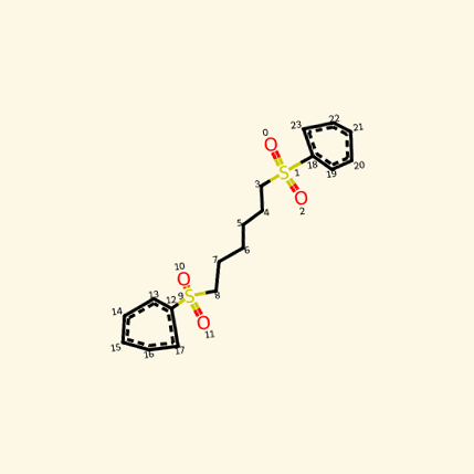 O=S(=O)(CCCCCCS(=O)(=O)c1ccccc1)c1ccccc1